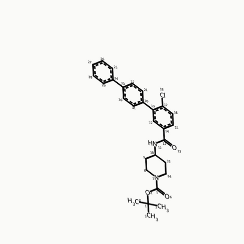 CC(C)(C)OC(=O)N1CCC(NC(=O)c2ccc(Cl)c(-c3ccc(-c4ccccc4)cc3)c2)CC1